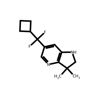 CC1(C)CNc2cc(C(F)(F)C3CCC3)cnc21